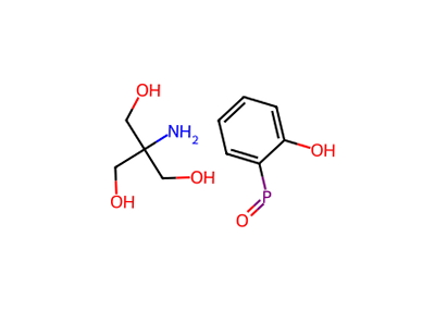 NC(CO)(CO)CO.O=Pc1ccccc1O